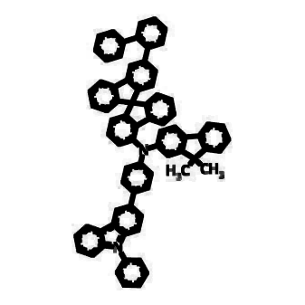 CC1(C)c2ccccc2-c2ccc(N(c3ccc(-c4ccc5c(c4)c4ccccc4n5-c4ccccc4)cc3)c3cccc4c3-c3ccccc3C43c4ccccc4-c4cc(-c5ccccc5-c5ccccc5)ccc43)cc21